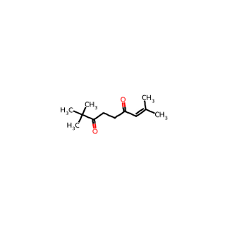 CC(C)=CC(=O)CCC(=O)C(C)(C)C